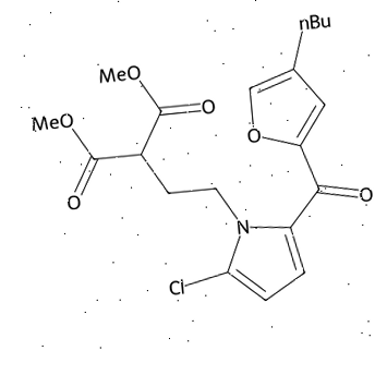 CCCCc1coc(C(=O)c2ccc(Cl)n2CCC(C(=O)OC)C(=O)OC)c1